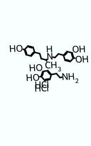 CC(CCc1ccc(O)cc1)NCCc1ccc(O)c(O)c1.Cl.Cl.NCCc1ccc(O)c(O)c1